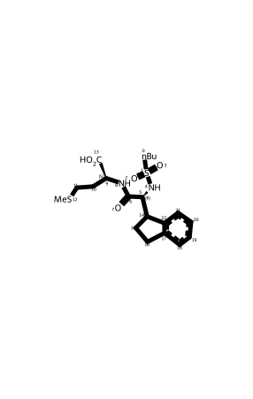 CCCCS(=O)(=O)N[C@@H](C(=O)N[C@@H](CCSC)C(=O)O)C1CCc2ccccc21